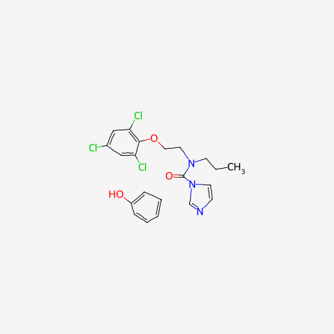 CCCN(CCOc1c(Cl)cc(Cl)cc1Cl)C(=O)n1ccnc1.Oc1ccccc1